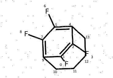 Fc1c(F)c2c(F)c(F)c1CCCC2